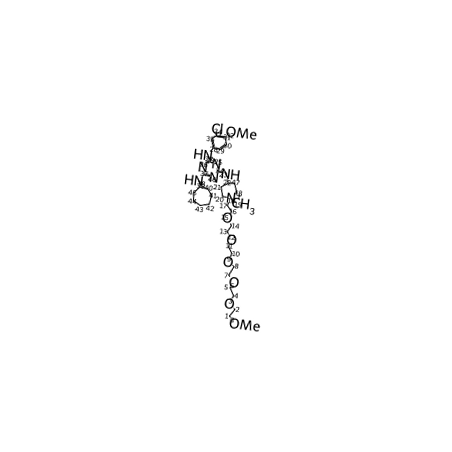 COCCOCCOCCOCCOCCOCC[N+]1(C)CCC(Nc2nc(Nc3ccc(OC)c(Cl)c3)nc(NC3CCCCCC3)n2)CC1